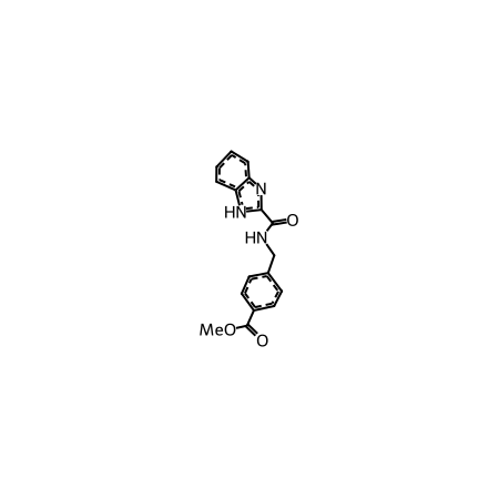 COC(=O)c1ccc(CNC(=O)c2nc3ccccc3[nH]2)cc1